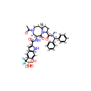 CC(=O)N1CC[C@H]2CCC(C(=O)N(C)C(c3ccccc3)c3ccccc3)N2C(=O)[C@@H](NC(=O)c2cc3cc(C(F)(F)P(=O)(O)O)ccc3[nH]2)C1